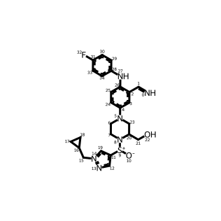 N=Cc1cc(N2CCN([S+]([O-])c3cnn(CC4CC4)c3)C(CO)C2)ccc1Nc1ccc(F)cc1